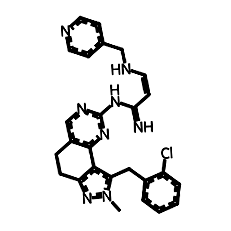 Cn1nc2c(c1Cc1ccccc1Cl)-c1nc(NC(=N)/C=C\NCc3ccncc3)ncc1CC2